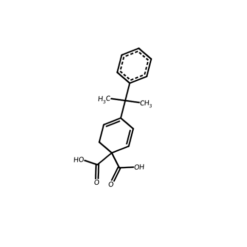 CC(C)(C1=CCC(C(=O)O)(C(=O)O)C=C1)c1ccccc1